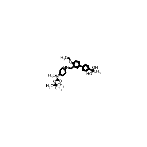 CCOc1ccc(-c2ccc(C(C)(O)O)cc2)cc1CNC1CCC(N(C)C(=O)OC(C)(C)C)CC1